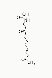 CC(=O)CC=CCNCCC(=O)CCNC(=O)O